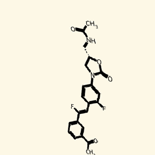 CC(=O)NC[C@H]1CN(c2ccc(/C=C(\F)c3cccc(C(C)=O)c3)c(F)c2)C(=O)O1